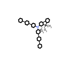 Cc1cc(-c2ccc(-c3ccccc3)cc2)ccc1N(c1ccc(-c2ccc(-c3ccccc3)cc2)cc1)c1ccc2c(c1)C(C)(C)c1ccccc1-2